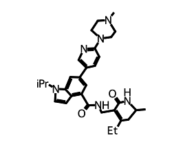 CCC1=C(CNC(=O)c2cc(-c3ccc(N4CCN(C)CC4)nc3)cc3c2ccn3C(C)C)C(=O)NC(C)C1